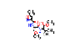 COC[C@H](NC(=O)c1cc(C)on1)C(=O)N[C@H](C(=O)OC)C(C)C